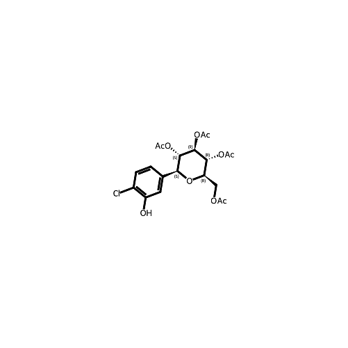 CC(=O)OC[C@H]1O[C@@H](c2ccc(Cl)c(O)c2)[C@H](OC(C)=O)[C@@H](OC(C)=O)[C@@H]1OC(C)=O